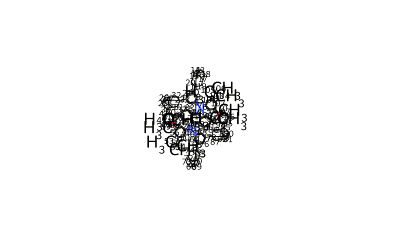 CC(C)(C)c1cc(N(c2cc(C34CC5CC(CC(C5)C3)C4)cc(C34CC5CC(CC(C5)C3)C4)c2)c2c3ccc(-c4ccccc4)cc3c(N(c3cc(C(C)(C)C)cc(C(C)(C)C)c3)c3cc(C45CC6CC(CC(C6)C4)C5)cc(C45CC6CC(CC(C6)C4)C5)c3)c3ccc(-c4ccccc4)cc23)cc(C(C)(C)C)c1